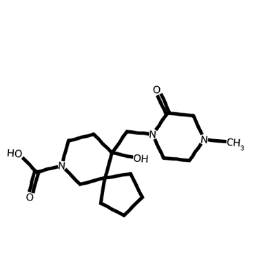 CN1CCN(CC2(O)CCN(C(=O)O)CC23CCCC3)C(=O)C1